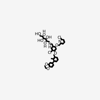 Cc1c(COc2cc(OCc3cccc(Cl)n3)c(CNC[C@H](O)[C@@H](O)[C@H](O)[C@H](O)CO)cc2Cl)cccc1-c1ccc2c(c1)OCCO2